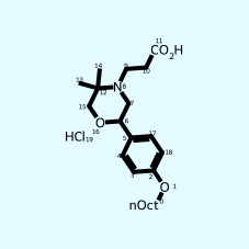 CCCCCCCCOc1ccc(C2CN(CCC(=O)O)C(C)(C)CO2)cc1.Cl